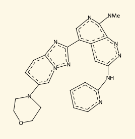 CNc1ncc(-c2nc3ccc(N4CCOCC4)cn3n2)c2cc(Nc3ccccn3)nnc12